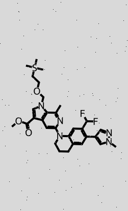 COC(=O)c1cn(COCCS(C)(C)C)c2c(C)nc(N3CCCc4cc(-c5cnn(C)c5)c(C(F)F)cc43)cc12